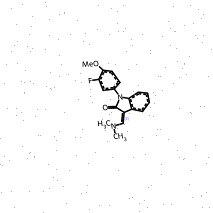 COc1ccc(N2C(=O)/C(=C\N(C)C)c3ccccc32)cc1F